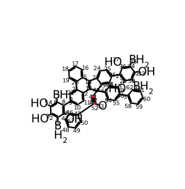 Bc1c(O)c(O)c(B)c(-c2ccc3c4c(c5ccccc5c3c2)-c2ccc(-c3c(O)c(B)c(O)c(B)c3O)cc2C42c3ccc(-c4ccccc4)cc3Oc3cc(-c4ccccc4)ccc32)c1O